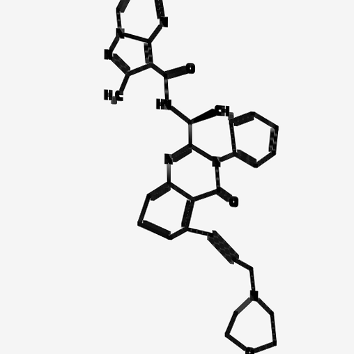 Cc1nn2cccnc2c1C(=O)N[C@@H](C)c1nc2cccc(C#CCN3CCOCC3)c2c(=O)n1-c1ccccc1